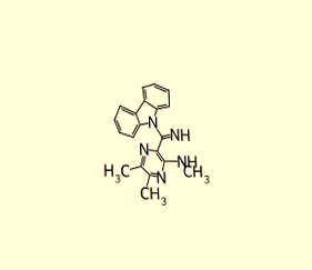 CNc1nc(C)c(C)nc1C(=N)n1c2ccccc2c2ccccc21